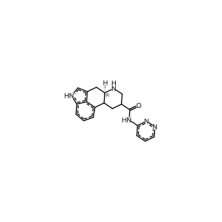 O=C(Nc1cccnn1)C1CN[C@@H]2Cc3c[nH]c4cccc(c34)C2C1